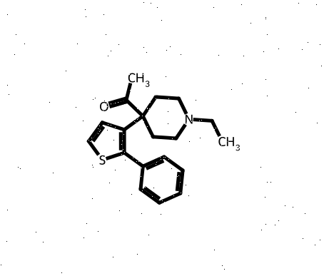 CCN1CCC(C(C)=O)(c2ccsc2-c2ccccc2)CC1